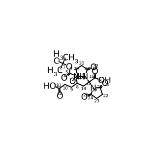 CC(C)(C)OC(=O)NC(CCC(=O)O)CC(C(=O)O)(N1C(=O)CCC1=O)N1C(=O)CCC1=O